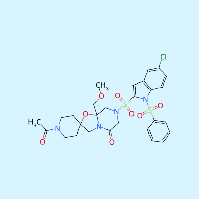 COCC12CN(S(=O)(=O)c3cc4cc(Cl)ccc4n3S(=O)(=O)c3ccccc3)CC(=O)N1CC1(CCN(C(C)=O)CC1)O2